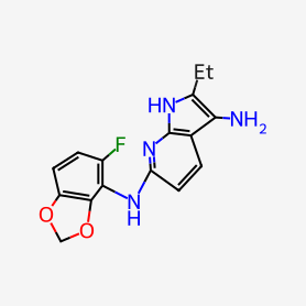 CCc1[nH]c2nc(Nc3c(F)ccc4c3OCO4)ccc2c1N